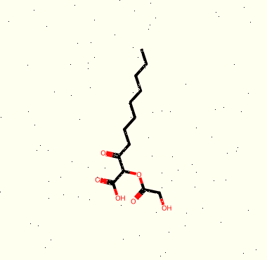 CCCCCCCCC(=O)C(OC(=O)CO)C(=O)O